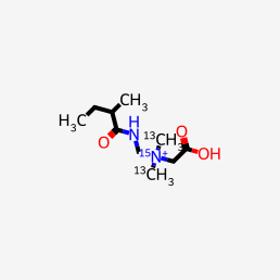 CCC(C)C(=O)NC[15N+]([13CH3])([13CH3])CC(=O)O